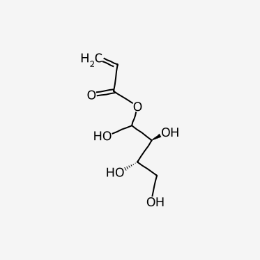 C=CC(=O)OC(O)[C@@H](O)[C@@H](O)CO